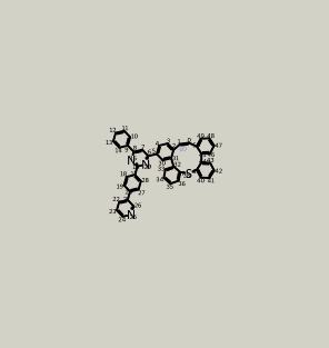 C1=C\c2ccc(-c3cc(-c4ccccc4)nc(-c4ccc(-c5cccnc5)cc4)n3)cc2-c2ccccc2Sc2ccccc2-c2ccccc2/1